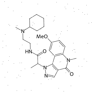 COc1ccc2c(c1)c1c(cnn1C(C)C(=O)NCCN(C)C1CCCCC1)c(=O)n2C